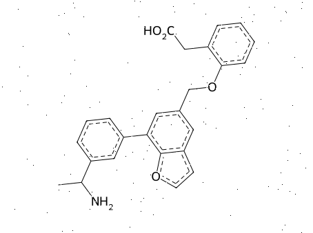 CC(N)c1cccc(-c2cc(COc3ccccc3CC(=O)O)cc3ccoc23)c1